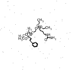 CCO[Si](CCCNC(N)=O)(OCC)OCC.CO[Si](C=Cc1ccccc1)(OC)OC